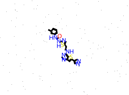 Cc1cccc(NC(=O)Nc2ncc(CCNc3ncnc4cc(-c5cnn(C)c5)sc34)s2)c1